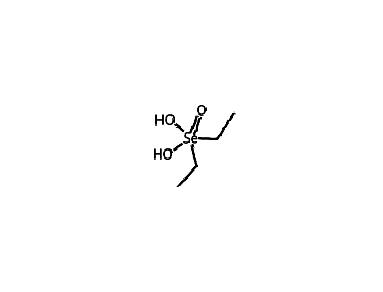 CC[Se](=O)(O)(O)CC